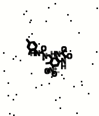 Cc1ccc(NC(=O)N(C)Cc2c(C)c([N+](=O)[O-])cc3[nH]c(=O)c(=O)[nH]c23)c(C)c1